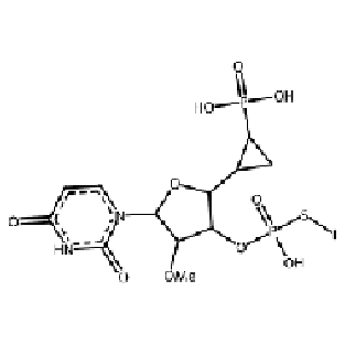 COC1C(OP(=O)(O)SI)C(C2CC2P(=O)(O)O)OC1n1ccc(=O)[nH]c1=O